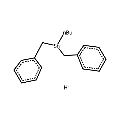 CCC[CH2][Sn]([CH2]c1ccccc1)[CH2]c1ccccc1.[H-]